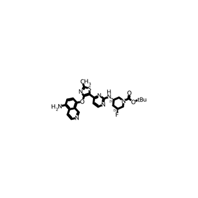 Cc1nc(Oc2ccc(N)c3ccncc23)c(-c2ccnc(N[C@H]3C[C@H](F)CN(C(=O)OC(C)(C)C)C3)n2)s1